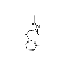 Cc1cccc(Oc2cc(C)nn2C)c1